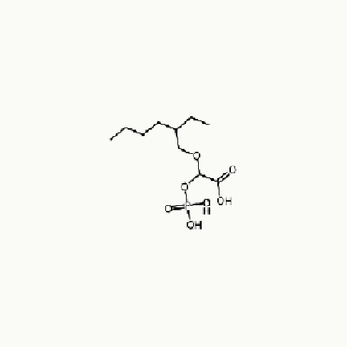 CCCCC(CC)COC(OP(=O)(O)O)C(=O)O